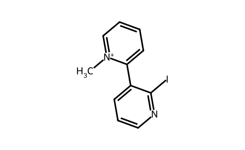 C[n+]1ccccc1-c1cccnc1I